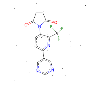 O=C1CCC(=O)N1c1ccc(-c2cncnc2)nc1C(F)(F)F